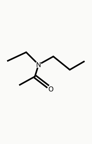 CCCN(CC)C(C)=O